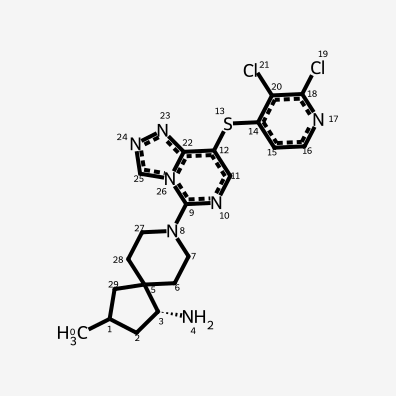 CC1C[C@@H](N)C2(CCN(c3ncc(Sc4ccnc(Cl)c4Cl)c4nncn34)CC2)C1